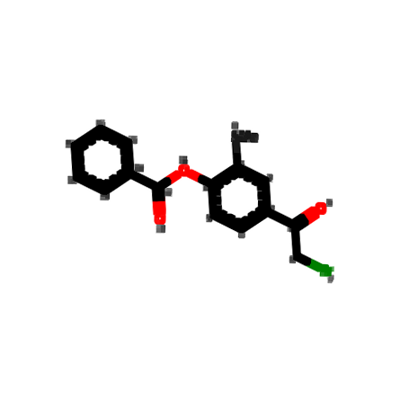 CSc1cc(C(=O)CBr)ccc1OC(=O)c1ccccc1